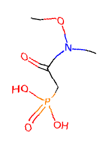 CON(C)C(=O)CP(=O)(O)O